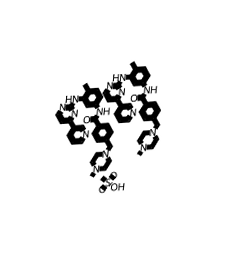 CS(=O)(=O)O.Cc1ccc(NC(=O)c2ccc(CN3CCN(C)CC3)cc2)cc1Nc1nccc(-c2cccnc2)n1.Cc1ccc(NC(=O)c2ccc(CN3CCN(C)CC3)cc2)cc1Nc1nccc(-c2cccnc2)n1